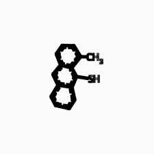 Cc1cccc2cc3ccccc3c(S)c12